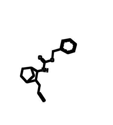 C=CCC1C2CCC(C2)C1NC(=O)OCc1ccccc1